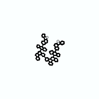 c1ccc2c(c1)ccc1cc(-c3c4ccccc4c(-c4ccc5c(ccc6oc7ccccc7c65)c4)c4ccccc34)c3ccc(-c4ccc5c6ccccc6c6c7ccccc7c(-c7c8ccccc8c(-c8ccc9c(ccc%10oc%11ccccc%11c%109)c8)c8ccccc78)cc6c5c4)cc3c12